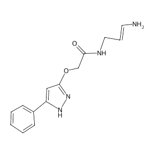 NC=CCNC(=O)COc1cc(-c2ccccc2)[nH]n1